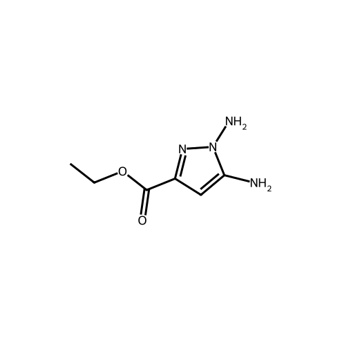 CCOC(=O)c1cc(N)n(N)n1